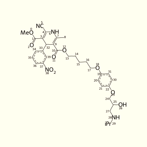 COC(=O)C1=C(C#N)NC(C)=C(C(=O)OCCCCCOc2ccc(OCC(O)CNC(C)C)cc2)C1c1cccc([N+](=O)[O-])c1